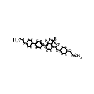 CCCc1ccc(-c2ccc(-c3ccc(C(=O)CC4CCC(CCC)CC4)c(C(F)(F)F)c3F)cc2)cc1